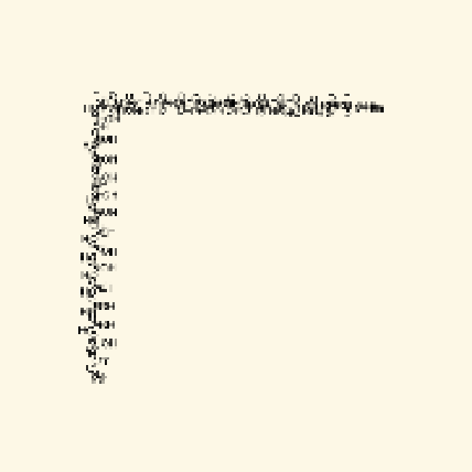 O=[Si](O)O.O=[Si](O)O.O=[Si](O)O.O=[Si](O)O.O=[Si](O)O.O=[Si](O)O.O=[Si](O)O.O=[Si](O)O.O=[Si](O)O.O=[Si](O)O.O=[Si](O)O.O=[Si](O)O.O=[Si](O)O.O=[Si](O)O.O=[Si](O)O.O=[Si](O)O.O=[Si](O)O.O=[Si](O)O.O=[Si](O)O.O=[Si](O)O.O=[Si](O)O.O=[Si](O)O.O=[Si](O)O.O=[Si](O)O.O=[Si](O)O.O=[Si](O)O.O=[Si](O)O.O=[Si]([O-])O.O=[Si]([O-])[O-].O=[Si]([O-])[O-].[Na+].[Na+].[Na+].[Na+].[Na+]